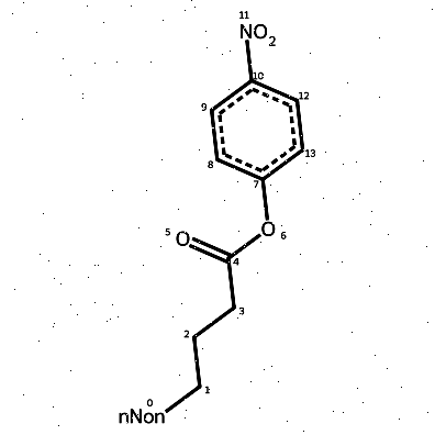 CCCCCCCCCCCCC(=O)Oc1ccc([N+](=O)[O-])cc1